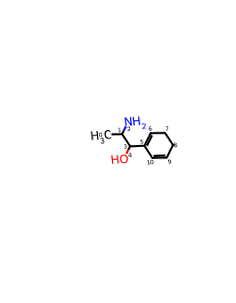 CC(N)C(O)C1=CCCC=C1